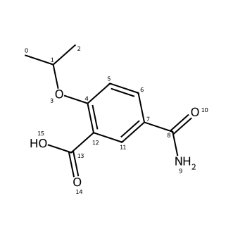 CC(C)Oc1ccc(C(N)=O)cc1C(=O)O